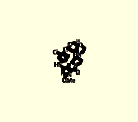 COc1nc(Nc2ccc(Cl)c(Cl)c2)c(C)c(C(=O)N2CCC(N3CCO[C@H]4COCC[C@H]43)CC2)n1